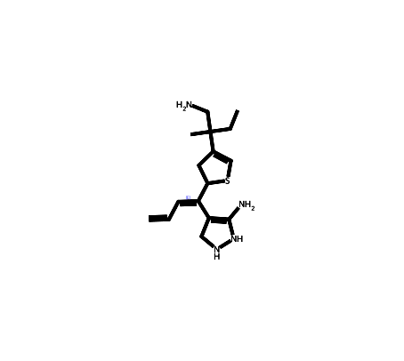 C=C/C=C(\C1=C(N)NNC1)C1CC(C(C)(CC)CN)=CS1